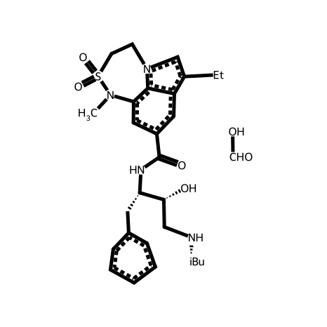 CCc1cn2c3c(cc(C(=O)N[C@@H](Cc4ccccc4)[C@H](O)CN[C@@H](C)CC)cc13)N(C)S(=O)(=O)CC2.O=CO